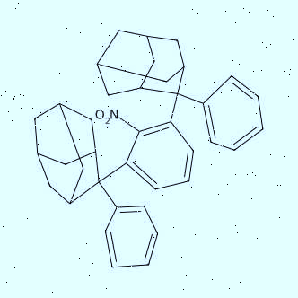 O=[N+]([O-])c1c(C2(c3ccccc3)C3CC4CC(C3)CC2C4)cccc1C1(c2ccccc2)C2CC3CC(C2)CC1C3